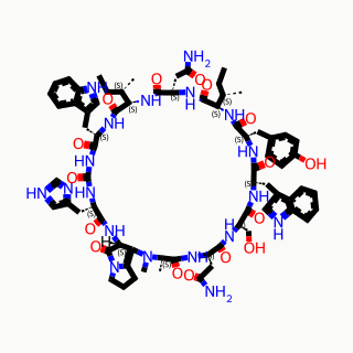 CC[C@H](C)[C@@H]1NC(=O)[C@H](CC(N)=O)NC(=O)[C@H]([C@@H](C)CC)NC(=O)[C@H](Cc2ccc(O)cc2)NC(=O)[C@H](Cc2c[nH]c3ccccc23)NC(=O)[C@H](CO)NC(=O)[C@H](CC(N)=O)NC(=O)[C@H](C)N(C)C2=C3CCCN3C(=O)[C@H]2NC(=O)[C@H](Cc2c[nH]cn2)NC(=O)NC(=O)[C@H](Cc2c[nH]c3ccccc23)NC1=O